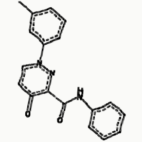 Cc1cccc(-n2ccc(=O)c(C(=O)Nc3ccccc3)n2)c1